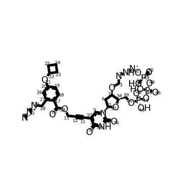 [N-]=[N+]=NCO[C@@H]1C[C@H](n2cc(C#CCOC(=O)c3ccc(OC4CCC4)cc3CN=[N+]=[N-])c(=O)[nH]c2=O)O[C@@H]1COP(=O)(O)OP(=O)(O)OP(=O)(O)O